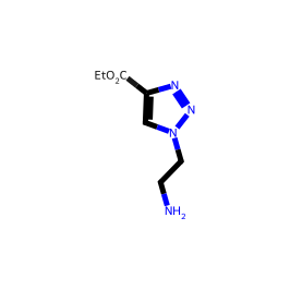 CCOC(=O)c1cn(CCN)nn1